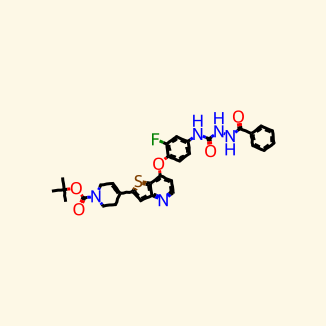 CC(C)(C)OC(=O)N1CC=C(c2cc3nccc(Oc4ccc(NC(=O)NNC(=O)c5ccccc5)cc4F)c3s2)CC1